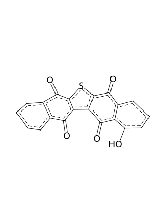 O=c1c2ccccc2c(=O)c2c1sc1c(=O)c3cccc(O)c3c(=O)c12